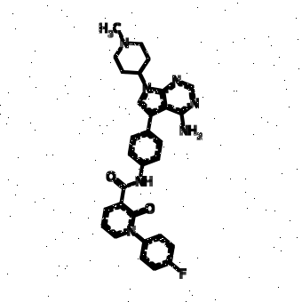 CN1CCC(n2cc(-c3ccc(NC(=O)c4cccn(-c5ccc(F)cc5)c4=O)cc3)c3c(N)ncnc32)CC1